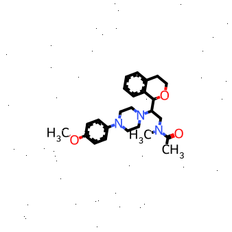 COc1ccc(N2CCN(C(CN(C)C(C)=O)C3OCCc4ccccc43)CC2)cc1